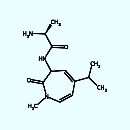 CC(C)C1=CC(NC(=O)[C@H](C)N)C(=O)N(C)C=C1